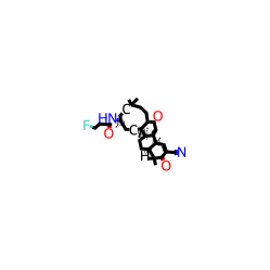 CC1(C)CCC2C(=O)C=C3[C@@]4(C)C=C(C#N)C(=O)C(C)(C)[C@@H]4CC[C@@]3(C)[C@]2(C)CC[C@@](C)(NC(=O)CCF)CC1